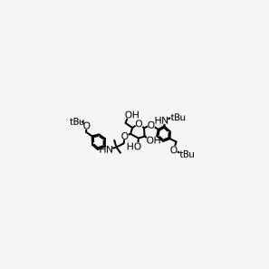 CC(C)(C)Nc1cc(COC(C)(C)C)ccc1OC1OC(CO)C(OCC(C)(C)Nc2ccc(COC(C)(C)C)cc2)C(O)C1O